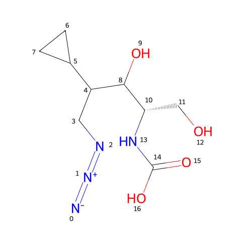 [N-]=[N+]=NCC(C1CC1)C(O)[C@H](CO)NC(=O)O